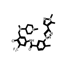 Cc1ccc(C(=O)Nc2cc(CN(C)C3CCN(C)CC3)c(Cl)c(C(F)(F)F)c2)cc1-n1cc(-c2cnn(C)c2C)nn1